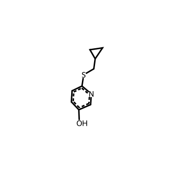 Oc1ccc(SCC2CC2)nc1